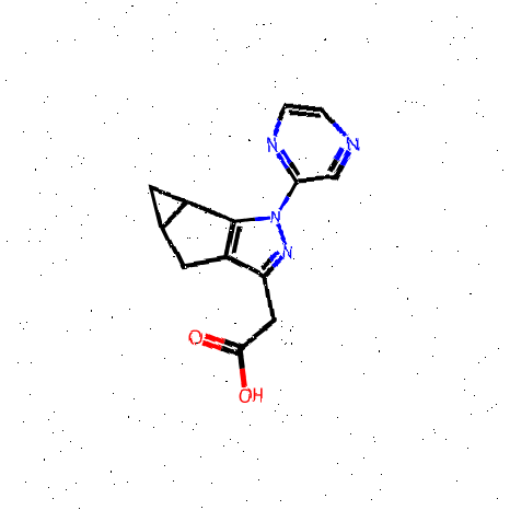 O=C(O)Cc1nn(-c2cnccn2)c2c1CC1CC21